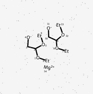 CCOC(C[O-])OCC.CCOC(C[O-])OCC.[Mg+2]